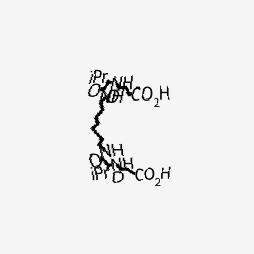 CC(C)C(NC(=O)CCC(=O)O)C(=O)NCCCCCCCNC(=O)C(NC(=O)CCC(=O)O)C(C)C